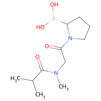 CC(C)C(=O)N(C)CC(=O)N1CCCC1B(O)O